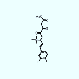 COC(=O)CC(=O)C(=O)OC(C=Cc1ccc(F)c(F)c1)[Si](C)(C)C